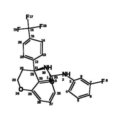 O=C(Nc1cccc(F)c1)N[C@]1(c2ccc(C(F)(F)F)cc2)CCOc2cccnc21